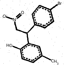 Cc1ccc(O)c(C(C[N+](=O)[O-])c2ccc(Br)cc2)c1